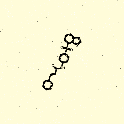 O=C(C=Cc1cccnc1)Nc1ccc(S(=O)(=O)c2cccc3ccsc23)cc1